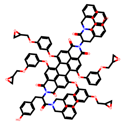 O=C(C(Cc1ccc(O)cc1)N1C(=O)c2cc(Oc3cccc(OCC4CO4)c3)c3c4c(Oc5cccc(OCC6CO6)c5)cc5c6c(cc(Oc7cccc(OCC8CO8)c7)c(c7c(Oc8cccc(OCC9CO9)c8)cc(c2c37)C1=O)c64)C(=O)N(C(Cc1ccc(O)cc1)C(=O)N(Cc1ccccc1)Cc1ccccc1)C5=O)N(Cc1ccccc1)Cc1ccccc1